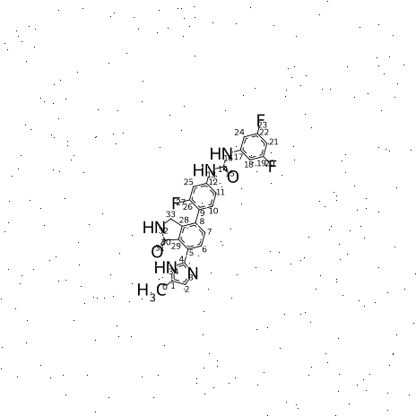 Cc1cnc(-c2ccc(-c3ccc(NC(=O)Nc4cc(F)cc(F)c4)cc3F)c3c2C(=O)NC3)[nH]1